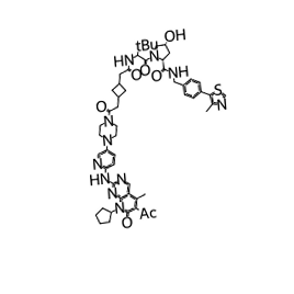 CC(=O)c1c(C)c2cnc(Nc3ccc(N4CCN(C(=O)CC5CC(CC(=O)NC(C(=O)N6C[C@H](O)C[C@H]6C(=O)NCc6ccc(-c7scnc7C)cc6)C(C)(C)C)C5)CC4)cn3)nc2n(C2CCCC2)c1=O